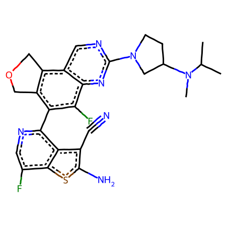 CC(C)N(C)C1CCN(c2ncc3c4c(c(-c5ncc(F)c6sc(N)c(C#N)c56)c(F)c3n2)COC4)C1